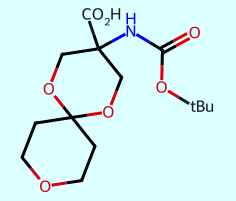 CC(C)(C)OC(=O)NC1(C(=O)O)COC2(CCOCC2)OC1